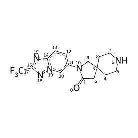 O=C1CC2(CCNCC2)CN1c1ccc2nc(C(F)(F)F)nn2c1